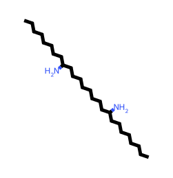 CCCCCCCCC(N)CCCCCCCCC(N)CCCCCCCC